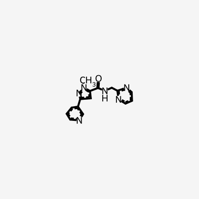 Cn1nc(-c2cccnc2)cc1C(=O)NCc1ncccn1